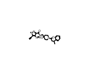 C#Cc1c2ncn(CC3(O)CCN(C(=O)CC(C)c4ccccc4)CC3)c(=O)c2nn1C